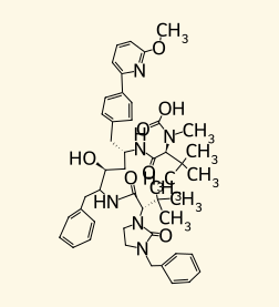 COc1cccc(-c2ccc(C[C@@H](C[C@H](O)C(Cc3ccccc3)NC(=O)[C@@H](N3CCN(Cc4ccccc4)C3=O)C(C)(C)C)NC(=O)[C@@H](N(C)C(=O)O)C(C)(C)C)cc2)n1